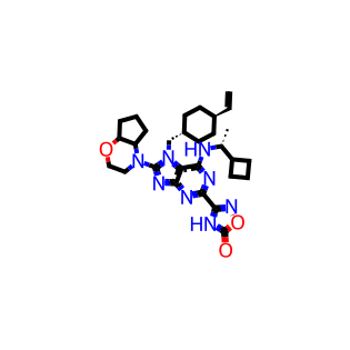 C=C[C@H]1CC[C@H](Cn2c(N3CCOC4CCCC43)nc3nc(-c4noc(=O)[nH]4)nc(N[C@H](C)C4CCC4)c32)CC1